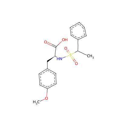 COc1ccc(C[C@H](NS(=O)(=O)C(C)c2ccccc2)C(=O)O)cc1